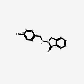 O=C1c2ccccc2CN1OCc1ccc(Cl)cc1